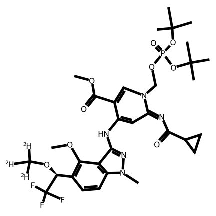 [2H]C([2H])([2H])O[C@@H](c1ccc2c(c(Nc3c/c(=N\C(=O)C4CC4)n(COP(=O)(OC(C)(C)C)OC(C)(C)C)cc3C(=O)OC)nn2C)c1OC)C(F)(F)F